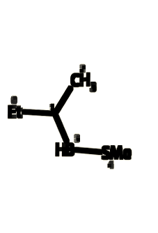 CCC(C)BSC